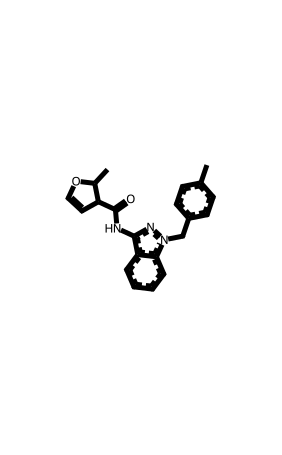 Cc1ccc(Cn2nc(NC(=O)C3C=COC3C)c3ccccc32)cc1